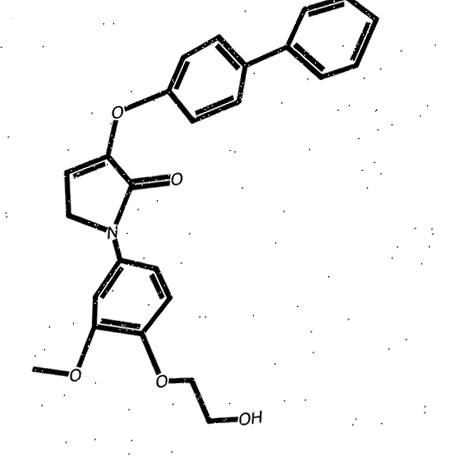 COc1cc(N2CC=C(Oc3ccc(-c4ccccc4)cc3)C2=O)ccc1OCCO